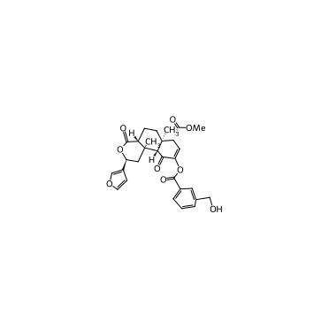 COC(=O)[C@@H]1C=C(OC(=O)c2cccc(CO)c2)C(=O)[C@H]2[C@@]1(C)CC[C@H]1C(=O)O[C@H](c3ccoc3)C[C@]21C